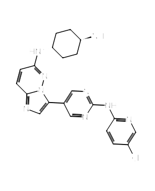 N[C@H]1CC[C@H](Nc2ccc3ncc(-c4cnc(Nc5ccc(Cl)cn5)nc4)n3n2)CC1